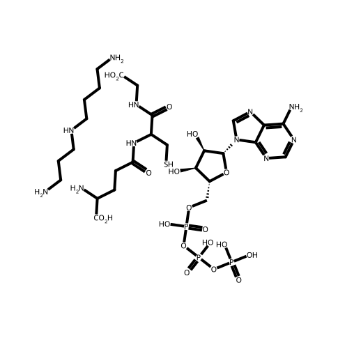 NC(CCC(=O)NC(CS)C(=O)NCC(=O)O)C(=O)O.NCCCCNCCCN.Nc1ncnc2c1ncn2[C@@H]1O[C@H](COP(=O)(O)OP(=O)(O)OP(=O)(O)O)[C@@H](O)[C@H]1O